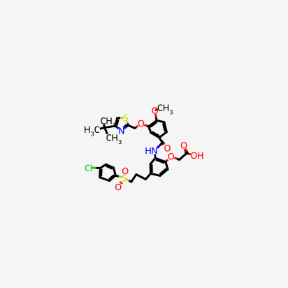 COc1ccc(C(=O)Nc2cc(CCCS(=O)(=O)c3ccc(Cl)cc3)ccc2OCC(=O)O)cc1OCc1nc(C(C)(C)C)cs1